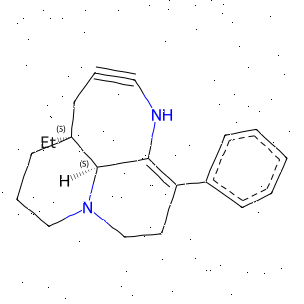 CC[C@@]12CC#CNC3=C(c4ccccc4)CCN(CCC1)[C@H]32